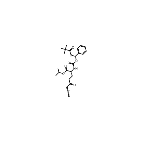 CC(C)OC(=O)[C@H](CCC(=O)C=[N+]=[N-])NC(=O)O[C@@H](OC(=O)C(C)(C)C)c1ccccc1